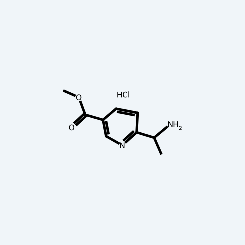 COC(=O)c1ccc(C(C)N)nc1.Cl